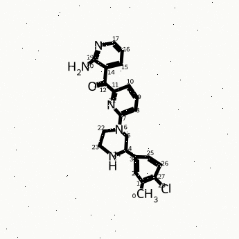 Cc1cc(C2CN(c3cccc(C(=O)c4cccnc4N)n3)CCN2)ccc1Cl